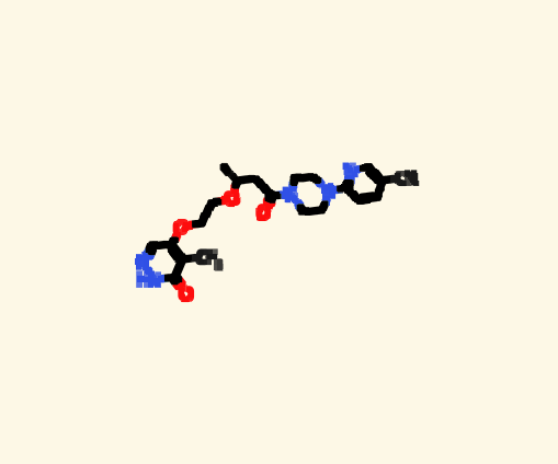 C[C@@H](CC(=O)N1CCN(c2ccc(C#N)cn2)CC1)OCCOc1cn[nH]c(=O)c1C(F)(F)F